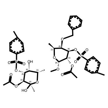 CC(=O)O[C@H]1[C@H](OS(=O)(=O)c2ccc(C)cc2)[C@H](O)[C@H](C)O[C@@]1(C)O.CO[C@@H]1O[C@@H](C)[C@@H](OCc2ccccc2)[C@@H](OS(=O)(=O)c2ccc(C)cc2)[C@@H]1OC(C)=O